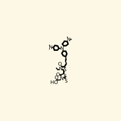 CCn1c(=O)/c(=C\C=C\c2ccc(N(c3ccc(N(C)C)cc3)c3ccc(N(C)C)cc3)cc2)s/c1=C1\SC(=S)N(CC(=O)O)C1=O